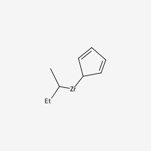 CC[CH](C)[Zr][CH]1C=CC=C1